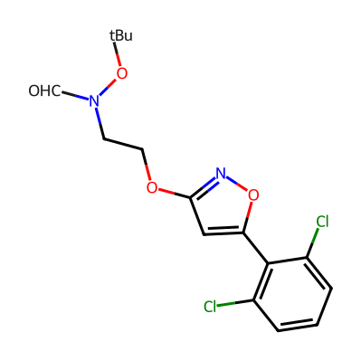 CC(C)(C)ON(C=O)CCOc1cc(-c2c(Cl)cccc2Cl)on1